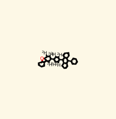 [2H]c1c([2H])c(-c2c3ccccc3c(-c3ccccc3)c3ccccc23)c([2H])c([2H])c1-c1c([2H])c([2H])c2oc3ccccc3c2c1[2H]